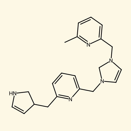 Cc1cccc(CN2C=CN(Cc3cccc(CC4C=CNC4)n3)C2)n1